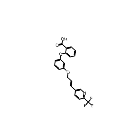 O=C(O)c1ccccc1Oc1cccc(OCC=Cc2ccc(C(F)(F)F)nc2)c1